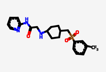 O=C(CNC1CCC(CS(=O)(=O)c2cccc(C(F)(F)F)c2)CC1)Nc1ccccn1